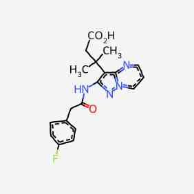 CC(C)(CC(=O)O)c1c(NC(=O)Cc2ccc(F)cc2)nn2cccnc12